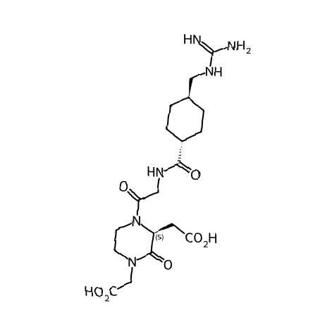 N=C(N)NC[C@H]1CC[C@H](C(=O)NCC(=O)N2CCN(CC(=O)O)C(=O)[C@@H]2CC(=O)O)CC1